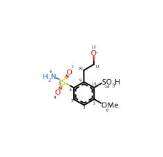 COc1ccc(S(N)(=O)=O)c(CC[O])c1S(=O)(=O)O